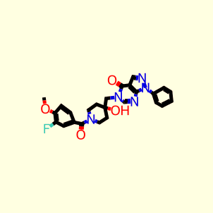 COc1ccc(C(=O)N2CCC(O)(Cn3cnc4c(cnn4-c4ccccc4)c3=O)CC2)cc1F